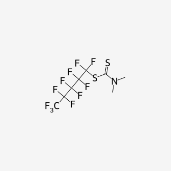 CN(C)C(=S)SC(F)(F)C(F)(F)C(F)(F)C(F)(F)C(F)(F)F